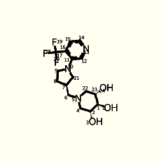 O[C@H]1[C@H](O)CN(C[C@H]2CCN(c3cnccc3C(F)(F)F)C2)C[C@@H]1O